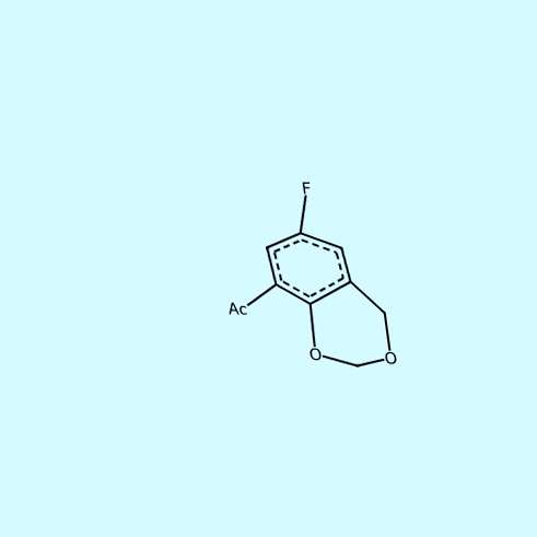 CC(=O)c1cc(F)cc2c1OCOC2